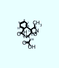 Cc1noc2c1-c1ccccc1C(=O)N[C@H]2CC(=O)O